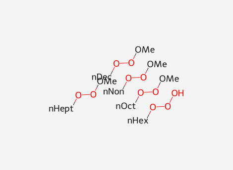 CCCCCCCCCCOOOC.CCCCCCCCCOOOC.CCCCCCCCOOOC.CCCCCCCOOOC.CCCCCCOOO